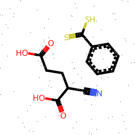 N#CC(CCC(=O)O)C(=O)O.S=C(S)c1ccccc1